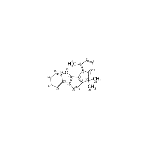 Cc1cccc2c1-c1c(ccc3c1oc1ccccc13)C2(C)C